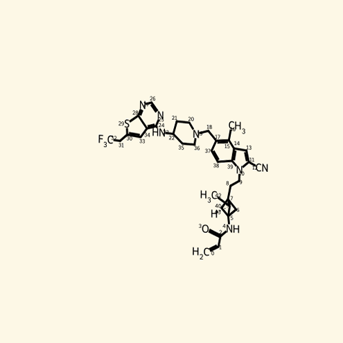 C=CC(=O)NC12CC(CCn3c(C#N)cc4c(C)c(CN5CCC(Nc6ncnc7sc(CC(F)(F)F)cc67)CC5)ccc43)(C1)[C@@H]2C